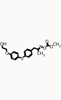 COC(=O)O/N=C(\C)Cc1ccc(Sc2ccc(OCCO)cc2)cc1